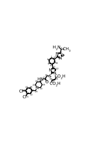 C[C@H](N)c1nc(-c2cccc(-c3csc(SCC(=O)NC4CCN(Cc5ccc(Cl)c(Cl)c5)CC4)n3)c2)no1.O=C(O)C=CC(=O)O